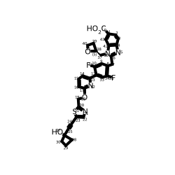 O=C(O)c1ccc2nc(Cc3cc(F)c(-c4cccc(OCc5ncc(C#CC6(O)CCC6)s5)n4)cc3F)n(C[C@@H]3CCO3)c2c1